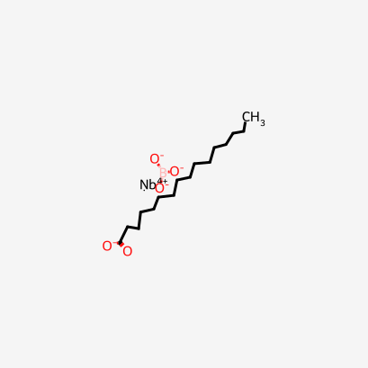 CCCCCCCCCCCCCCCC(=O)[O-].[Nb+4].[O-]B([O-])[O-]